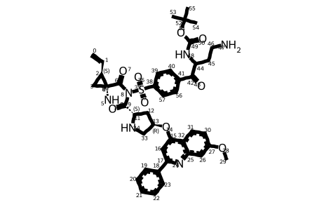 C=C[C@@H]1C[C@]1(N)C(=O)N(C(=O)[C@@H]1C[C@@H](Oc2cc(-c3ccccc3)nc3cc(OC)ccc23)CN1)S(=O)(=O)c1ccc(C(=O)C(CCN)NC(=O)OC(C)(C)C)cc1